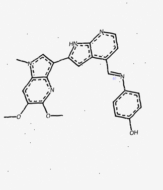 COc1cc2c(nc1OC)c(-c1cc3c(/C=N/c4ccc(O)cc4)ccnc3[nH]1)cn2C